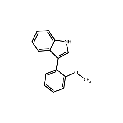 FC(F)(F)Oc1ccccc1-c1c[nH]c2ccccc12